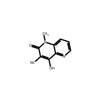 Cn1c(=O)c(C#N)c(O)c2ncccc21